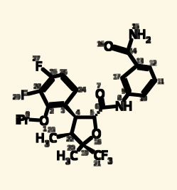 CC(C)Oc1c([C@H]2[C@H](C(=O)Nc3cccc(C(N)=O)c3)O[C@@](C)(C(F)(F)F)[C@H]2C)ccc(F)c1F